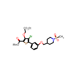 CCOC(=O)COc1c(C(=O)OC)sc(-c2cccc(OCC3CCN(S(C)(=O)=O)CC3)c2)c1Br